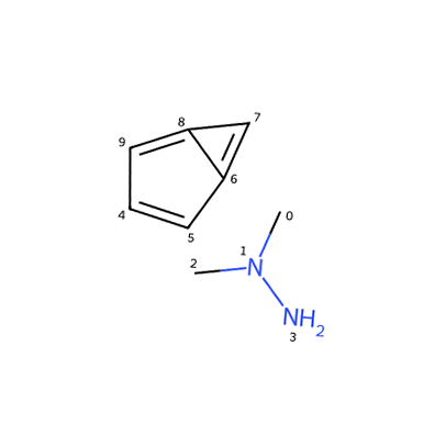 CN(C)N.c1cc2cc-2c1